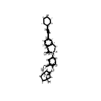 CN1[C@@H]2CC[C@H]1C[C@@H](Oc1ccc(N3CCc4cc(C#CC5CCCCC5)ccc4C3=O)cc1Cl)C2